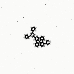 Cc1cnccc1-c1cccc2c1-c1ccccc1C21c2ccccc2-c2cc(-c3nc(-c4ccccc4)nc(-c4ccccc4)n3)ccc21